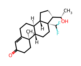 C[C@H](O)[C@H]1CC[C@H]2[C@@H]3CCC4=CC(=O)CC[C@]4(C)[C@H]3CC[C@]12C(F)F